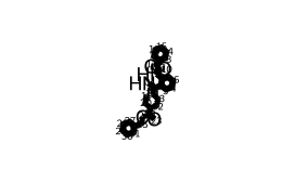 N=C(c1ccccc1NS(=O)(=O)c1ccccc1)N1CCC(C(=O)OCc2ccccc2)CC1